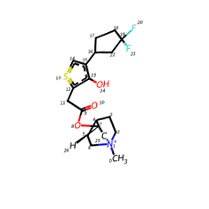 C[N+]12CCC(CC1)[C@@H](OC(=O)Cc1scc(C3CCC(F)(F)C3)c1O)C2